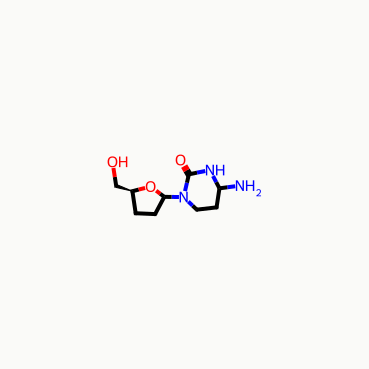 NC1CCN(C2CC[C@@H](CO)O2)C(=O)N1